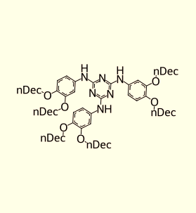 CCCCCCCCCCOc1ccc(Nc2nc(Nc3ccc(OCCCCCCCCCC)c(OCCCCCCCCCC)c3)nc(Nc3ccc(OCCCCCCCCCC)c(OCCCCCCCCCC)c3)n2)cc1OCCCCCCCCCC